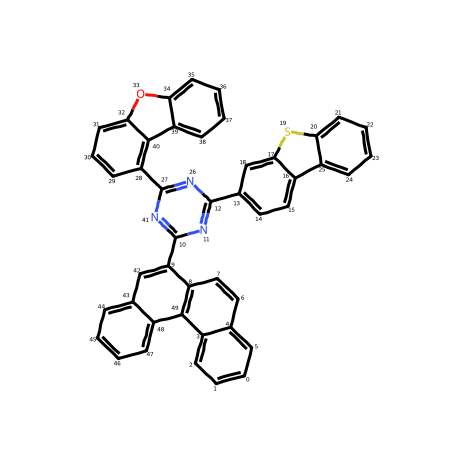 c1ccc2c(c1)ccc1c(-c3nc(-c4ccc5c(c4)sc4ccccc45)nc(-c4cccc5oc6ccccc6c45)n3)cc3ccccc3c12